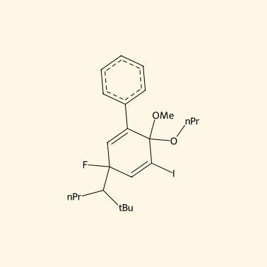 CCCOC1(OC)C(I)=CC(F)(C(CCC)C(C)(C)C)C=C1c1ccccc1